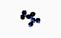 c1cncc(-c2cc(-n3c4ccccc4c4cc(-n5c6ccccc6c6ccccc65)ccc43)nc(-c3ccncc3)n2)c1